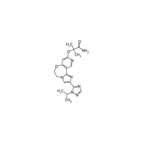 CC(C)n1ncnc1-c1cn2c(n1)-c1cnc(OC(C)(C)C(N)=O)cc1OCC2